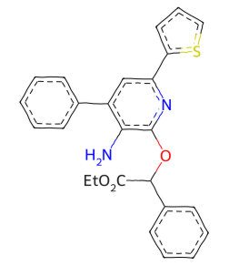 CCOC(=O)C(Oc1nc(-c2cccs2)cc(-c2ccccc2)c1N)c1ccccc1